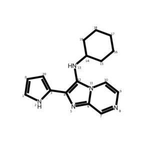 c1c[nH]c(-c2nc3cnccn3c2NC2CCCCC2)c1